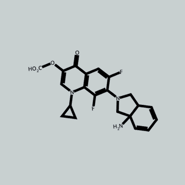 NC12C=CC=CC1CN(c1c(F)cc3c(=O)c(OC(=O)O)cn(C4CC4)c3c1F)C2